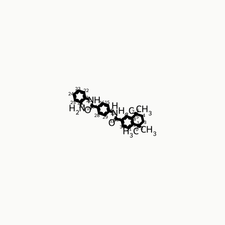 CC1(C)CCC(C)(C)c2cc(C(=O)Nc3ccc(C(=O)Nc4ccccc4N)cc3)ccc21